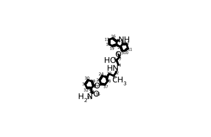 CC(CNCC(O)COc1cccc2[nH]c3ccccc3c12)Cc1ccc(Oc2ccccc2C(N)=O)cc1